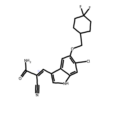 N#C/C(=C\c1c[nH]c2cc(Cl)c(OCC3CCC(F)(F)CC3)cc12)C(N)=O